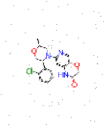 C[C@H]1CN(c2cc3c(cn2)OCC(=O)N3)[C@@H](c2ccccc2Cl)CO1